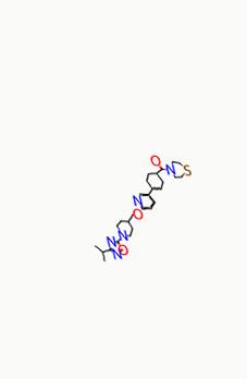 CC(C)c1noc(N2CCC(COc3ccc(C4=CCC(C(=O)N5CCSCC5)CC4)cn3)CC2)n1